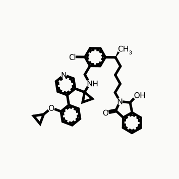 C[C@@H](CCCCN1C(=O)c2ccccc2C1O)c1ccc(Cl)c(CNC2(c3cnccc3-c3ccccc3OC3CC3)CC2)c1